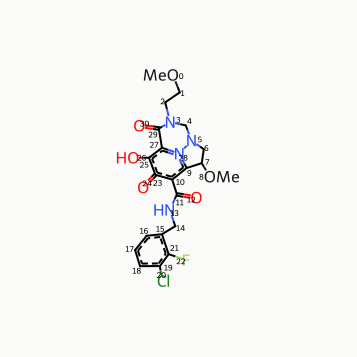 COCCN1CN2CC(OC)c3c(C(=O)NCc4cccc(Cl)c4F)c(=O)c(O)c(n32)C1=O